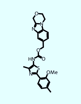 COc1cc(C)ccc1-c1nc(C)c(NC(=O)OCc2ccc3c(c2)nc2n3CCOC2)s1